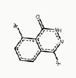 [2H]c1n[nH]c(=O)c2c(Br)cccc12